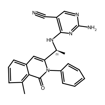 Cc1cccc2cc([C@H](C)Nc3nc(N)ncc3C#N)n(-c3ccccc3)c(=O)c12